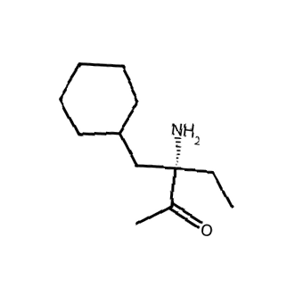 CC[C@](N)(CC1CCCCC1)C(C)=O